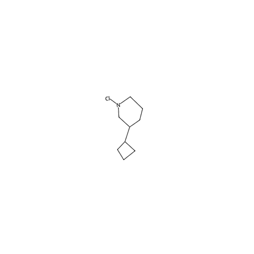 ClN1CCCC(C2CCC2)C1